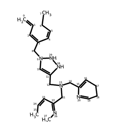 C=C/C=C(\C=C/CC)CN1C=C(CN(CC2=CCCC=N2)CC(/C=C\C)=N/C)NN1